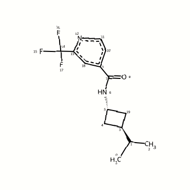 CC(C)[C@H]1C[C@H](NC(=O)c2ccnc(C(F)(F)F)c2)C1